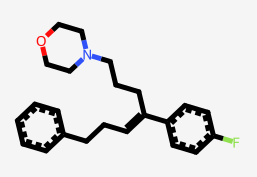 Fc1ccc(C(=CCCc2ccccc2)CCCN2CCOCC2)cc1